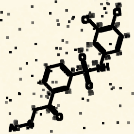 CC(=O)SCC(=O)c1cccc(S(=O)(=O)Nc2ccc(Cl)c(Cl)c2)c1